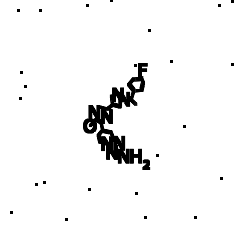 COc1ncc(-c2cnn(C(C)c3ccc(F)cc3)c2)nc1-c1ccn2nc(N)nc2c1